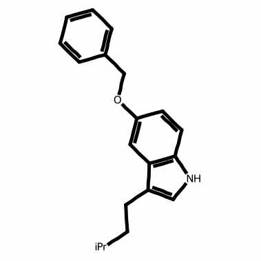 CC(C)CCc1c[nH]c2ccc(OCc3ccccc3)cc12